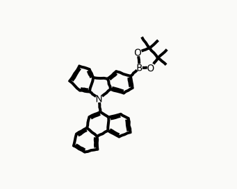 CC1(C)OB(c2ccc3c(c2)c2ccccc2n3-c2cc3ccccc3c3ccccc23)OC1(C)C